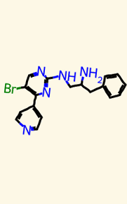 NC(CNc1ncc(Br)c(-c2ccncc2)n1)Cc1ccccc1